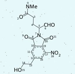 CNC(=O)CCC(C=O)N1C(=O)c2cc(CCO)cc([N+](=O)[O-])c2C1=O